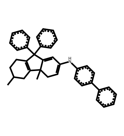 CC1CCC2=C(C1)C1(C)CC=C(Nc3ccc(-c4ccccc4)cc3)C=C1C2(c1ccccc1)c1ccccc1